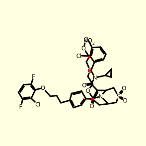 O=C(C1=C(c2ccc(CCCOc3c(F)ccc(F)c3Cl)cc2)CC2CS(=O)(=O)CC1N2C(=O)OCCOCCO[N+](=O)[O-])N(Cc1cccc(Cl)c1Cl)C1CC1